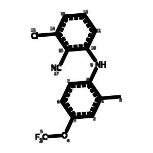 Cc1cc(OC(F)(F)F)ccc1Nc1cccc(Cl)c1C#N